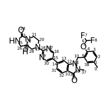 Cc1ccc(OC(F)F)c(Cn2c3cc(-c4cnc(N5CCN6C(=O)NC[C@@H]6C5)nc4)ccc3c(=O)n2C)c1